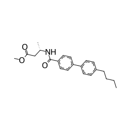 CCCCc1ccc(-c2ccc(C(=O)N[C@@H](C)CC(=O)OC)cc2)cc1